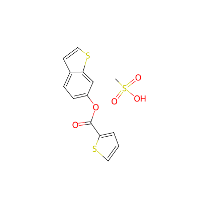 CS(=O)(=O)O.O=C(Oc1ccc2ccsc2c1)c1cccs1